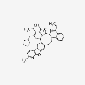 C=CC1=NC2C(=C)[n+]3cc(C(C)C)c(CC4CCCC4)cc3-c3cc4c(cc3CCC2c2ccccc21)oc1nc(C)ccc14